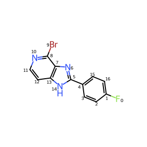 Fc1ccc(-c2nc3c(Br)nccc3[nH]2)cc1